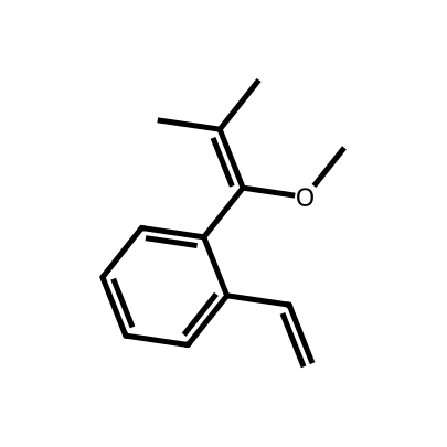 C=Cc1ccccc1C(OC)=C(C)C